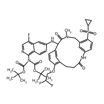 CN1Cc2cc(ccc2S(=O)(=O)C2CC2)NC(=O)CCc2cc(ccc2OCC(F)F)C(Nc2ccc3c(N(C(=O)OC(C)(C)C)C(=O)OC(C)(C)C)ncc(F)c3c2)C1=O